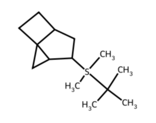 CC(C)(C)S(C)(C)C1CC2CCC23CC13